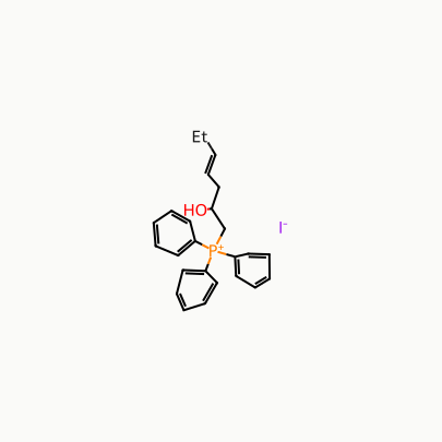 CCC=CCC(O)C[P+](c1ccccc1)(c1ccccc1)c1ccccc1.[I-]